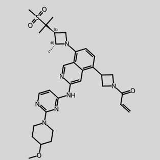 C=CC(=O)N1CC(c2ccc(N3C[C@H](C(C)(C)S(C)(=O)=O)[C@H]3C)c3cnc(Nc4ccnc(N5CCC(OC)CC5)n4)cc23)C1